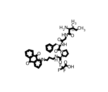 CC[C@H](C)[C@H](N)C(=O)NCC(=O)N[C@@H](Cc1ccccc1)C(=O)N1CCC[C@H]1C(=O)NCCCNc1cccc2c1C(=O)c1ccccc1C2=O.O=C(O)C(F)(F)F